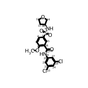 COc1ccc(S(=O)(=O)N[C@H]2CCOC2)cc1C(=O)Nc1cc(Cl)cc(Cl)c1